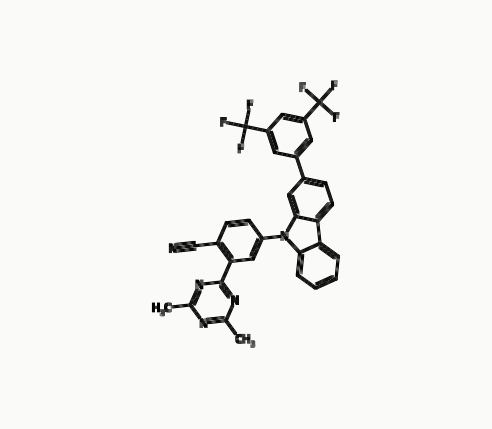 Cc1nc(C)nc(-c2cc(-n3c4ccccc4c4ccc(-c5cc(C(F)(F)F)cc(C(F)(F)F)c5)cc43)ccc2C#N)n1